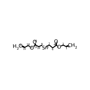 C=CCOC(=O)C[CH2][Sn][CH2]CC(=O)OCC=C